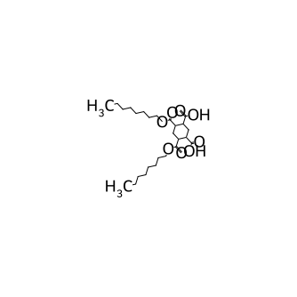 CCCCCCCCOC(=O)C1CC(C(=O)OCCCCCCCC)C(C(=O)O)CC1C(=O)O